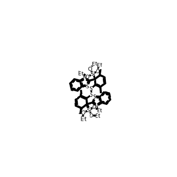 CCO[Si](OCC)(OCC)C1(c2nc3ccccc3s2)C(SSC2=C(C)C=CC(C)C2(c2nc3ccccc3s2)[Si](OCC)(OCC)OCC)=C(C)C=CC1C